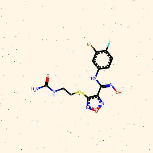 NC(=O)NCCSc1nonc1/C(=N\O)Nc1ccc(F)c(Br)c1